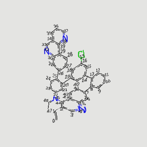 C=Cc1cnc2cc(-c3ccccc3-c3cc(Cl)cc(-c4ccccc4-c4ccc5c(c4)ncc4cccnc45)c3)ccc2c1/N=C\C